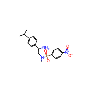 CC(C)c1ccc(C(N)CN(C)S(=O)(=O)c2ccc([N+](=O)[O-])cc2)cc1